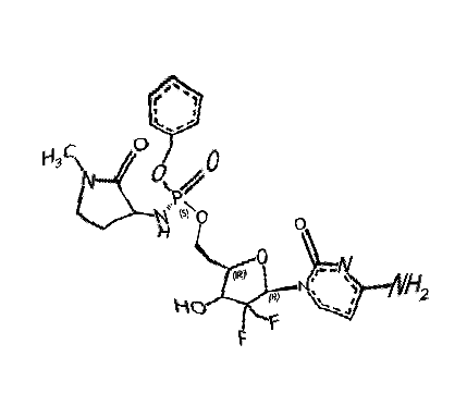 CN1CCC(N[P@](=O)(OC[C@H]2O[C@@H](n3ccc(N)nc3=O)C(F)(F)C2O)Oc2ccccc2)C1=O